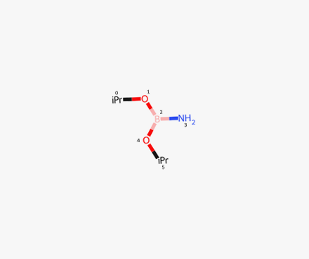 CC(C)OB(N)OC(C)C